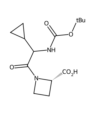 CC(C)(C)OC(=O)NC(C(=O)N1CC[C@H]1C(=O)O)C1CC1